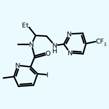 CCC(CNc1ncc(C(F)(F)F)cn1)N(C)C(=O)c1nc(C)ccc1I